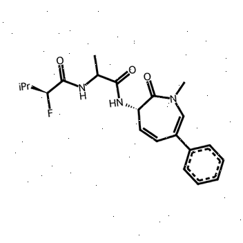 CC(NC(=O)[C@@H](F)C(C)C)C(=O)N[C@H]1C=CC(c2ccccc2)=CN(C)C1=O